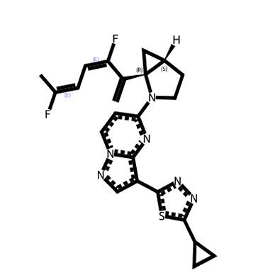 C=C(/C(F)=C\C=C(/C)F)[C@@]12C[C@@H]1CCN2c1ccn2ncc(-c3nnc(C4CC4)s3)c2n1